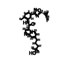 Cc1ccc(-c2noc([C@@H]3C[C@@H]3F)n2)cc1NC(=O)c1cnc2cc(CCCC(C)(C)O)ccn12